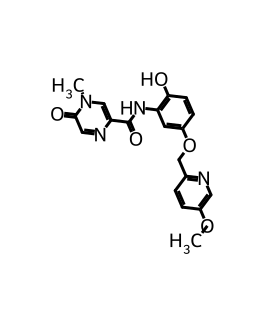 COc1ccc(COc2ccc(O)c(NC(=O)c3cn(C)c(=O)cn3)c2)nc1